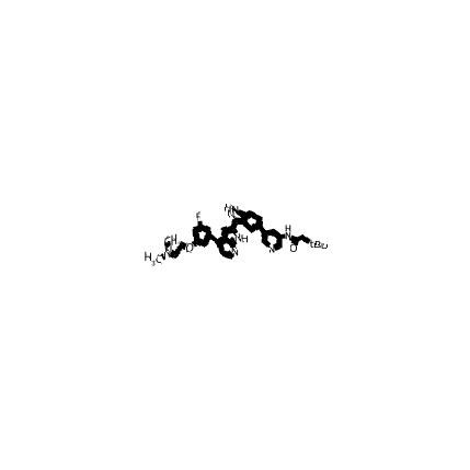 CN(C)CCOc1cc(F)cc(-c2ccnc3[nH]c(-c4n[nH]c5ccc(-c6cncc(NC(=O)CC(C)(C)C)c6)cc45)cc23)c1